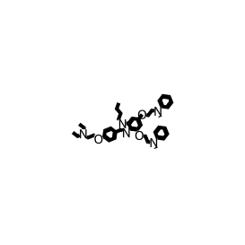 CCCCn1c(-c2ccc(OCCN(CC)CC)cc2)nc2c(OCCN(C)c3ccccc3)cc(OCCN(C)c3ccccc3)cc21